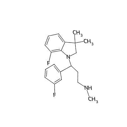 CNCCC(c1cccc(F)c1)N1CC(C)(C)c2cccc(F)c21